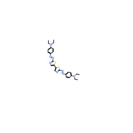 CCN(CC)c1ccc(/N=N/c2ncc(-c3cnc(/N=N/c4ccc(N(CC)CC)cc4)s3)s2)cc1